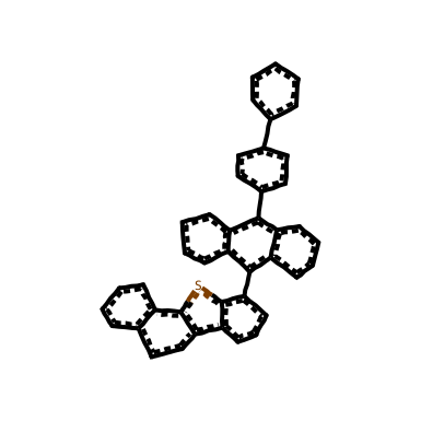 c1ccc(-c2ccc(-c3c4ccccc4c(-c4cccc5c4sc4c6ccccc6ccc54)c4ccccc34)cc2)cc1